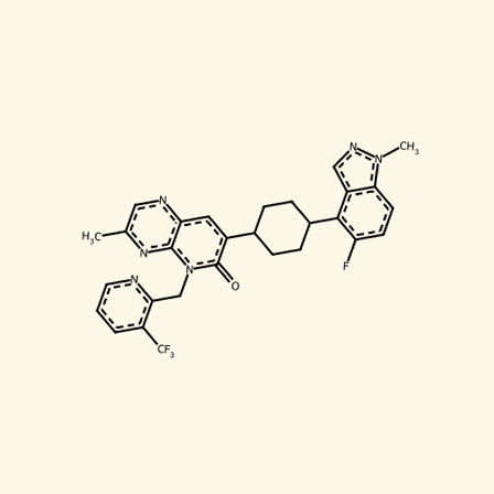 Cc1cnc2cc(C3CCC(c4c(F)ccc5c4cnn5C)CC3)c(=O)n(Cc3ncccc3C(F)(F)F)c2n1